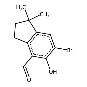 CC1(C)CCc2c1cc(Br)c(O)c2C=O